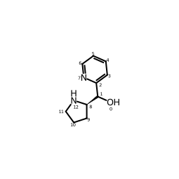 OC(c1ccccn1)[C@H]1CCCN1